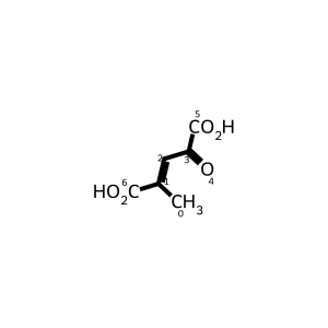 CC(=CC(=O)C(=O)O)C(=O)O